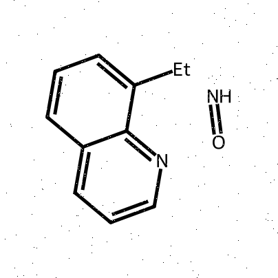 CCc1cccc2cccnc12.N=O